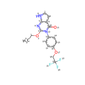 CCOc1nc2[nH]ccc2c(=O)n1-c1ccc(OCC(F)(F)F)cc1